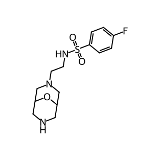 O=S(=O)(NCCN1CC2CNCC(C1)O2)c1ccc(F)cc1